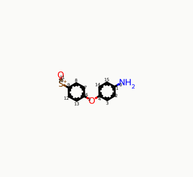 Nc1ccc(Oc2ccc([S+]=O)cc2)cc1